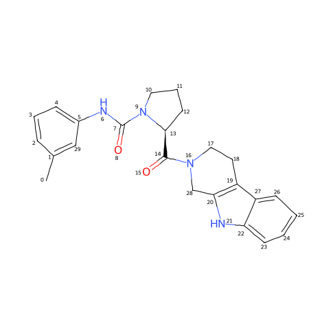 Cc1cccc(NC(=O)N2CCC[C@H]2C(=O)N2CCc3c([nH]c4ccccc34)C2)c1